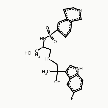 C[C@H](CNCC(C)(O)c1c[nH]c2ccc(F)cc12)NS(=O)(=O)c1ccc2cnccc2c1.Cl